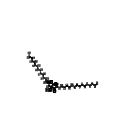 CCCCCCCCCCCCCCCCCC(=O)C(O)(CCCCCCCCCCCCCCCC)C(=O)O